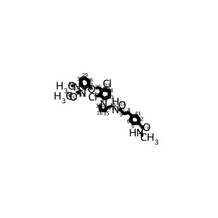 CNC(=O)c1ccc(/C=C/C(=O)NCc2cccn2-c2ccc(Cl)c(COc3cccc4c3nc(OC)n4C)c2Cl)cc1